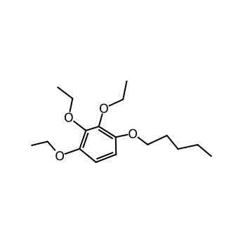 CCCCCOc1ccc(OCC)c(OCC)c1OCC